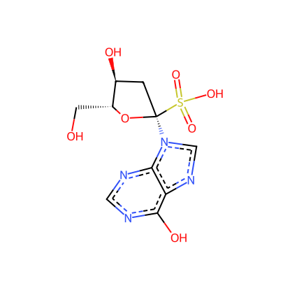 O=S(=O)(O)[C@]1(n2cnc3c(O)ncnc32)C[C@H](O)[C@@H](CO)O1